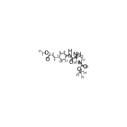 CCOC(=O)C=Cc1ccc(NC(=O)[C@]2(N)CCN(C(=O)OC(C)(C)C)C2)cc1